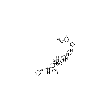 CCOc1cncc(-c2csc(CN3CCN(c4ccc(C(=O)NS(=O)(=O)c5ccc(NCCSc6ccccc6)c(C(F)(F)F)c5)nn4)CC3)c2)c1